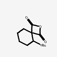 CCCCC1CCCCC12C(=O)OC2=O